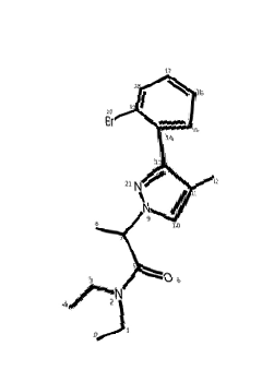 CCN(CC)C(=O)C(C)n1cc(C)c(-c2ccccc2Br)n1